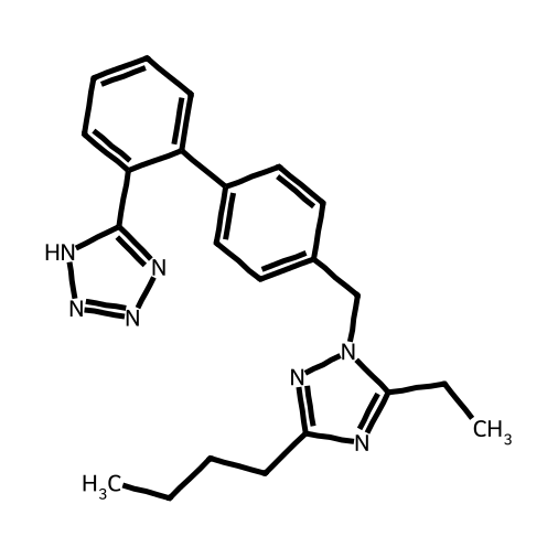 CCCCc1nc(CC)n(Cc2ccc(-c3ccccc3-c3nnn[nH]3)cc2)n1